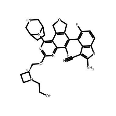 N#Cc1c(N)sc2ccc(F)c(-c3c4c(c5c(N6C7CCC6CNC7)nc(OC[C@@H]6CCN6CCO)nc5c3F)COC4)c12